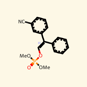 COP(=O)(OC)O/C=C(\c1ccccc1)c1cccc(C#N)c1